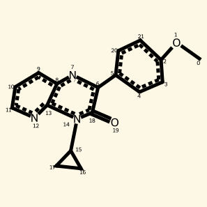 COc1ccc(-c2nc3cccnc3n(C3CC3)c2=O)cc1